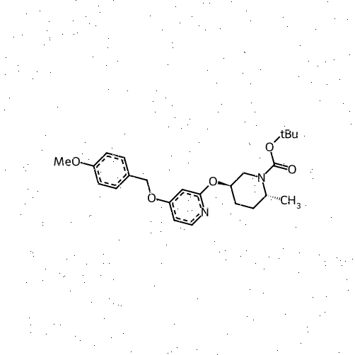 COc1ccc(COc2ccnc(O[C@@H]3CC[C@@H](C)N(C(=O)OC(C)(C)C)C3)c2)cc1